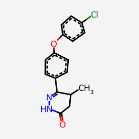 CC1CC(=O)NN=C1c1ccc(Oc2ccc(Cl)cc2)cc1